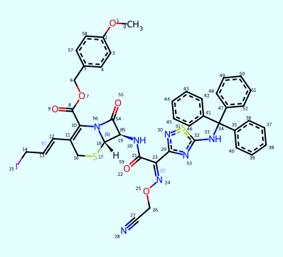 COc1ccc(COC(=O)C2=C(/C=C/CI)CS[C@H]3[C@H](NC(=O)/C(=N\OCC#N)c4nsc(NC(c5ccccc5)(c5ccccc5)c5ccccc5)n4)C(=O)N23)cc1